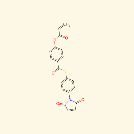 C=CC(=O)Oc1ccc(C(=O)Sc2ccc(N3C(=O)C=CC3=O)cc2)cc1